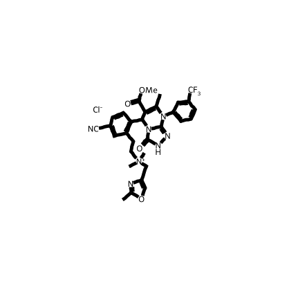 COC(=O)C1=C(C)N(c2cccc(C(F)(F)F)c2)c2n[nH]c(=O)n2C1c1ccc(C#N)cc1CC[N+](C)(C)Cc1coc(C)n1.[Cl-]